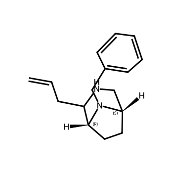 C=CCC1NC[C@@H]2CC[C@H]1N2Cc1ccccc1